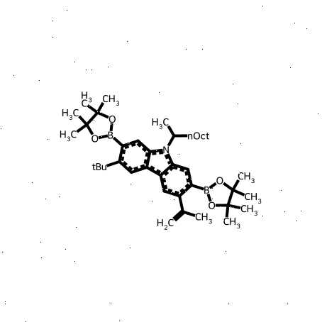 C=C(C)c1cc2c3cc(C(C)(C)C)c(B4OC(C)(C)C(C)(C)O4)cc3n(C(C)CCCCCCCC)c2cc1B1OC(C)(C)C(C)(C)O1